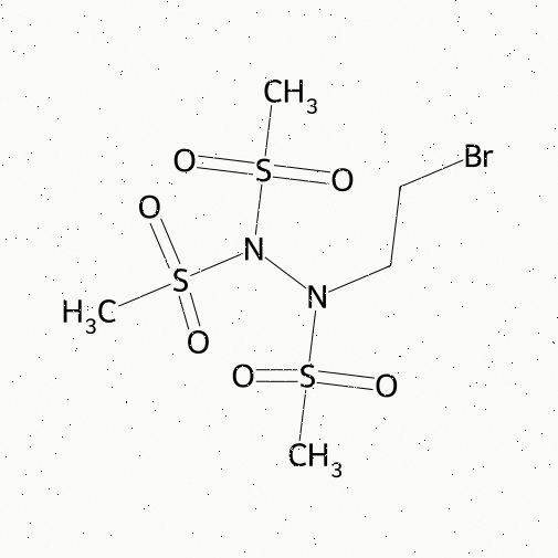 CS(=O)(=O)N(CCBr)N(S(C)(=O)=O)S(C)(=O)=O